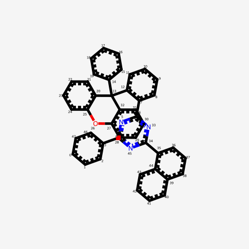 c1ccc(-c2nc(-c3ccccc3C3(c4ccccc4)c4ccccc4Oc4ccccc43)nc(-c3cccc4ccccc34)n2)cc1